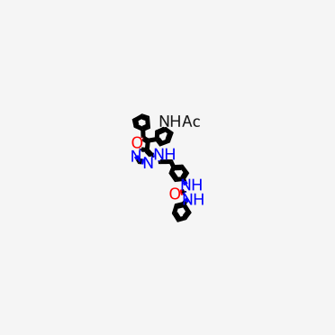 CC(=O)Nc1cccc(-c2c(-c3ccccc3)oc3ncnc(NCCc4ccc(NC(=O)Nc5ccccc5)cc4)c23)c1